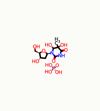 CC1(O)C(=O)NC(=O)N([C@H]2C[C@H](O)[C@@H](CO)O2)C1O.O=P(O)(O)O